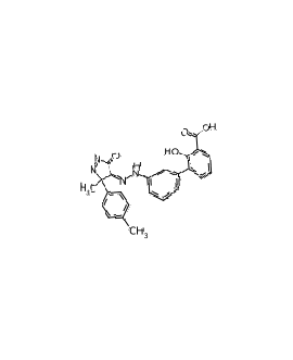 Cc1ccc(C2(C)N=NC(=O)C2=NNc2cccc(-c3cccc(C(=O)O)c3O)c2)cc1